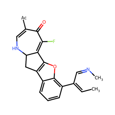 C/C=C(\C=N/C)c1cccc2c3c(oc12)C1=C(F)C(=O)C(C(C)=O)=CNC1C3